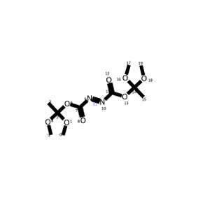 COC(C)(OC)OC(=O)/N=N/C(=O)OC(C)(OC)OC